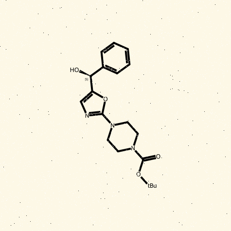 CC(C)(C)OC(=O)N1CCN(c2ncc([C@@H](O)c3ccccc3)o2)CC1